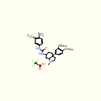 COc1ccc(C23CCC(NC(=O)Nc4ccc([N+](=O)[O-])c(C(F)(F)F)c4)CC2N(C)CC3)cc1OC.O=C(O)C(F)(F)F